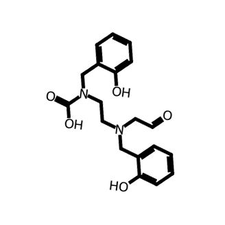 O=CCN(CCN(Cc1ccccc1O)C(=O)O)Cc1ccccc1O